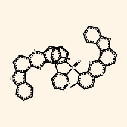 Cc1ccc2sc3ccc4nc5ccccc5c4c3nc2c1-c1cccnc1P(=O)(c1ccccc1)c1c(C)ccc2sc3ccc4nc5ccccc5c4c3nc12